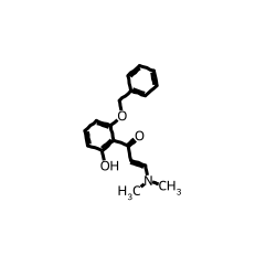 CN(C)C=CC(=O)c1c(O)cccc1OCc1ccccc1